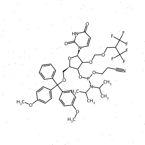 COc1ccc(C(OC[C@H]2O[C@@H](n3ccc(=O)[nH]c3=O)C(OCOCC(C(F)(F)F)C(F)(F)F)C2OP(OCCC#N)N(C(C)C)C(C)C)(c2ccccc2)c2ccc(OC)cc2)cc1